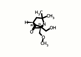 COC[C@@]1(CO)C(=O)[C@@H]2CCN1C(C)(C)C2